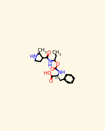 CCC(NC(=O)C1CCN[C@@H]1C)OC(=O)N[C@@H](Cc1ccccc1)C(=O)O